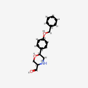 O=CC1COC(c2ccc(OCc3ccccc3)cc2)CN1